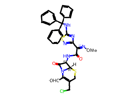 CO/N=C(\C(=O)N[C@@H]1C(=O)N2C([C]=O)=C(CCl)CS[C@H]12)c1nsc(NC(c2ccccc2)(c2ccccc2)c2ccccc2)n1